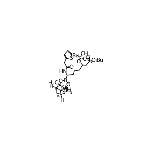 CC(C)COC(=O)CC(CCCC(NC(=O)Cc1cccs1)B1O[C@@H]2C[C@@H]3C[C@@H](C3(C)C)[C@]2(C)O1)O[Si](C)(C)C(C)(C)C